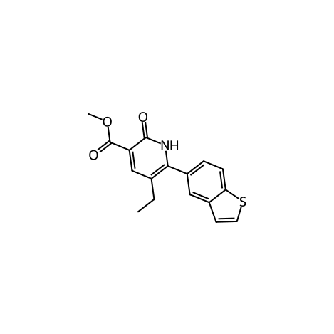 CCc1cc(C(=O)OC)c(=O)[nH]c1-c1ccc2sccc2c1